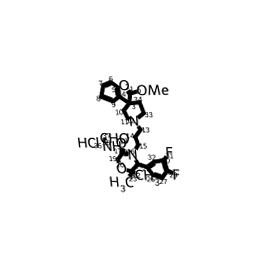 COC(=O)C1(c2ccccc2)CCN(CCCN2C(=O)COC(C)(C)C2c2ccc(F)c(F)c2)CC1.Cl.NC=O